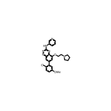 COc1ccc(Cl)c(-c2cc(OCCN3CCCC3)c3nc(Nc4cccnc4)nnc3c2)c1